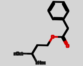 CCCCCCCCC(CCCCCC)CCOC(=O)Cc1ccccc1